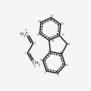 C=CC=C.c1ccc2c(c1)Cc1ccccc1-2